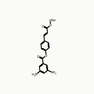 CCCCCCCCCCOC(=O)/C=C/c1ccc(OC(=O)c2cc(N)cc(N)c2)cc1